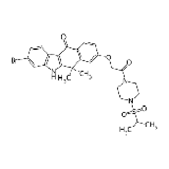 CC(C)S(=O)(=O)N1CCN(C(=O)COc2ccc3c(c2)C(C)(C)c2[nH]c4cc(Br)ccc4c2C3=O)CC1